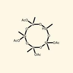 CC(=O)O[Si]1(C)O[SiH](C)O[Si](C)(OC(C)=O)O[Si](C)(OC(C)=O)O[Si](C)(OC(C)=O)O1